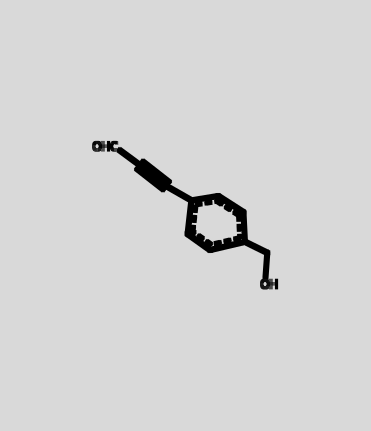 O=CC#Cc1ccc(CO)cc1